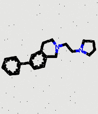 c1ccc(-c2ccc3c(c2)CCN(CCN2CCCC2)C3)cc1